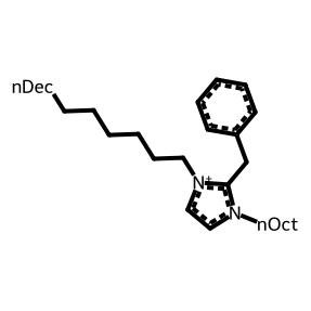 CCCCCCCCCCCCCCCC[n+]1ccn(CCCCCCCC)c1Cc1ccccc1